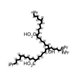 CCCN(CCC)CCCCC(O)(CCCCCCC(CCCCCC(C)CCCC(C)C)C(=O)O)CCCCCCC(CCCCCC(C)CCCC(C)C)C(=O)O